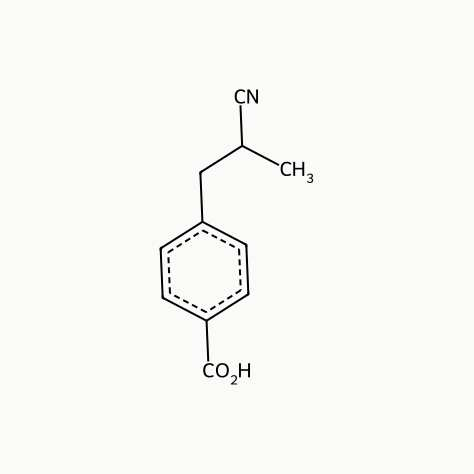 CC(C#N)Cc1ccc(C(=O)O)cc1